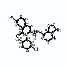 C[C@H](Nc1ncnc2[nH]cnc12)c1cc2ccc(F)cc2c(=O)n1-c1cc(Cl)ccc1Cl